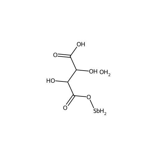 O.O=C(O)C(O)C(O)C(=O)[O][SbH2]